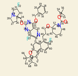 CC(C)[Si](Oc1cc(-c2ncc3c(OCc4ccccc4)nc(OC[C@@]45CCCN4C[C@H](F)C5)nc3c2F)c2c(CCCOC3CCCCN(C(=O)OC(C)(C)C)C3)c(F)ccc2c1)(C(C)C)C(C)C